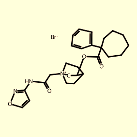 O=C(C[N+]12CCC(CC1)C(OC(=O)C1(c3ccccc3)CCCCCC1)C2)Nc1ccon1.[Br-]